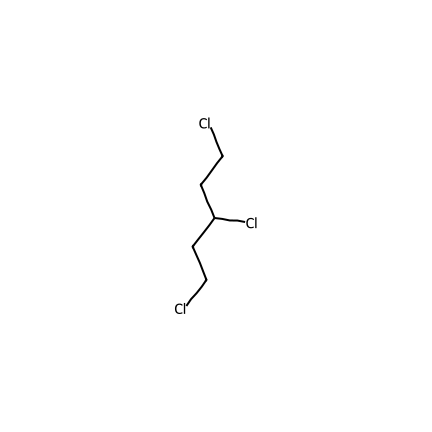 ClCCC(Cl)CCCl